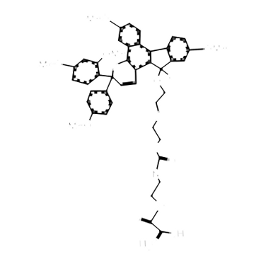 C=C(C)C(=O)OCCNC(=O)OCCOCCOC1(C)c2cc(OC)ccc2-c2c1c1c(c3cc(OC)ccc23)OC(c2ccc(OC)cc2)(c2ccc(OC)cc2OC)C=C1